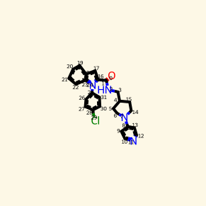 O=C(NCC1CCN(c2ccncc2)CC1)c1cc2ccccc2n1-c1ccc(Cl)cc1